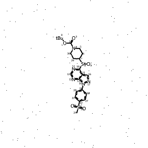 CC(C)(C)OC(=O)N1CCC([S+]([O-])c2ncnc3c2cnn3-c2ccc(S(C)(=O)=O)cc2)CC1